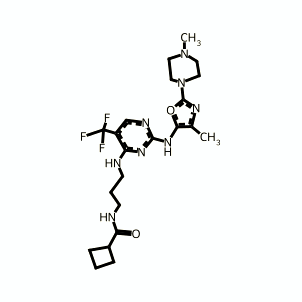 Cc1nc(N2CCN(C)CC2)oc1Nc1ncc(C(F)(F)F)c(NCCCNC(=O)C2CCC2)n1